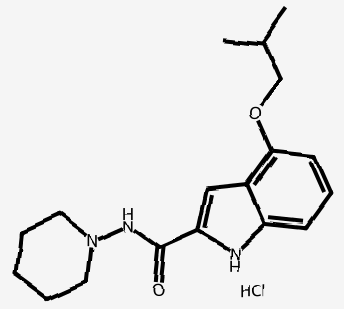 CC(C)COc1cccc2[nH]c(C(=O)NN3CCCCC3)cc12.Cl